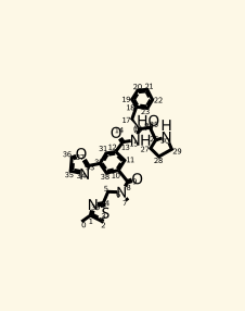 Cc1csc(CN(C)C(=O)c2cc(C(=O)N[C@@H](Cc3ccccc3)[C@H](O)C3CCCN3)cc(-c3ncco3)c2)n1